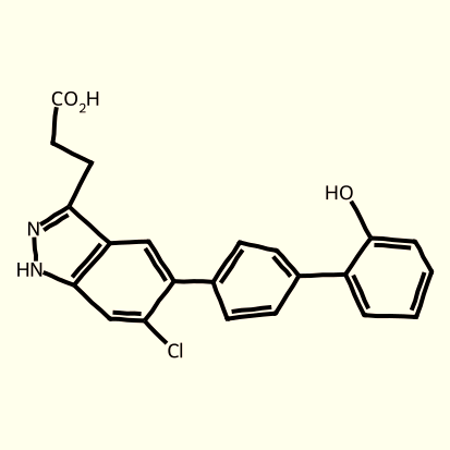 O=C(O)CCc1n[nH]c2cc(Cl)c(-c3ccc(-c4ccccc4O)cc3)cc12